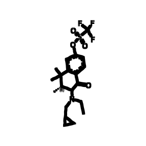 CCN(CC1CC1)C1C(=O)c2ccc(OS(=O)(=O)C(F)(F)F)cc2C(C)(C)[C@H]1C